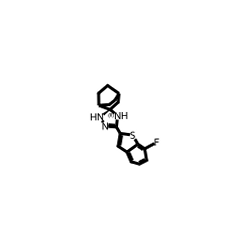 Fc1cccc2cc(C3=NN[C@@]4(CC5CCC4CC5)N3)sc12